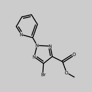 COC(=O)c1nn(-c2ccccn2)nc1Br